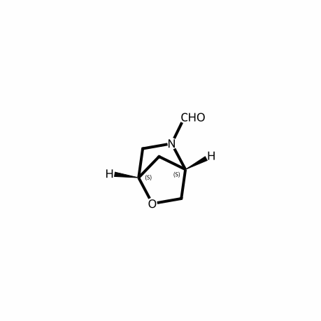 O=CN1C[C@@H]2C[C@H]1CO2